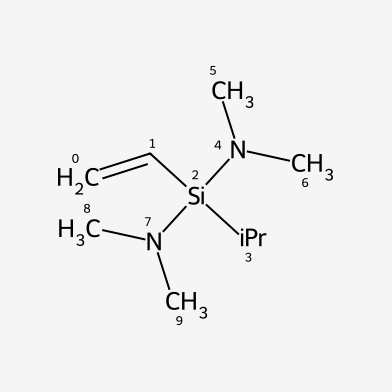 C=C[Si](C(C)C)(N(C)C)N(C)C